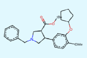 COc1ccc(C2CN(Cc3ccccc3)CC2C(=O)OC(C)(C)C)cc1OC1CCCC1